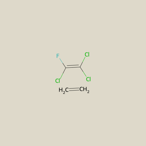 C=C.FC(Cl)=C(Cl)Cl